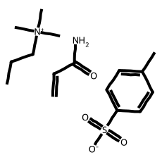 C=CC(N)=O.CCC[N+](C)(C)C.Cc1ccc(S(=O)(=O)[O-])cc1